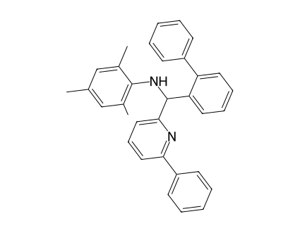 Cc1cc(C)c(NC(c2cccc(-c3ccccc3)n2)c2ccccc2-c2ccccc2)c(C)c1